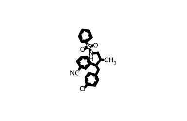 CC(CNS(=O)(=O)c1ccccc1)C(Cc1ccc(Cl)cc1)c1cccc(C#N)c1